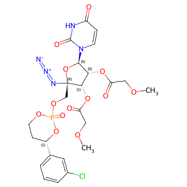 COCC(=O)O[C@H]1[C@H](n2ccc(=O)[nH]c2=O)O[C@@](COP2(=O)OCC[C@@H](c3cccc(Cl)c3)O2)(N=[N+]=[N-])[C@H]1OC(=O)COC